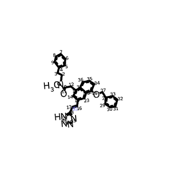 CN(CCc1ccccc1)C(=O)Cc1cc(/C=C/c2nnn[nH]2)cc2c(OCc3ccccc3)cccc12